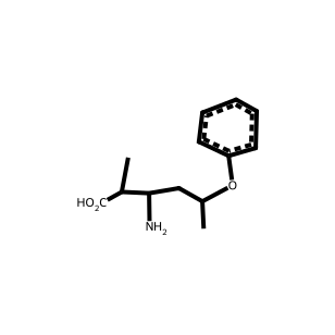 CC(CC(N)C(C)C(=O)O)Oc1ccccc1